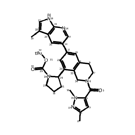 Cc1cc(C(=O)N2CCc3cc(-c4cnc5[nH]cc(C)c5c4)cc(C4CCCN4C(=O)OC(C)(C)C)c3C2)n(C)n1